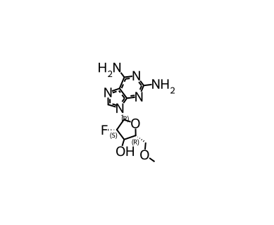 COC[C@H]1O[C@@H](n2cnc3c(N)nc(N)nc32)[C@@H](F)C1O